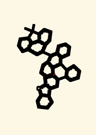 CC1(C)c2cccc3cc(-c4c5ccccc5c(-c5ccccc5-c5ccc6oc7ccccc7c6c5)c5ccccc45)c4cccc1c4c23